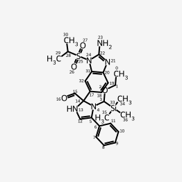 CCOC(N1C(c2ccccc2)=CNC1(C=O)c1ccc2nc(N)n(S(=O)(=O)C(C)C)c2c1)[Si](C)(C)C